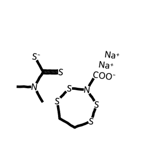 CN(C)C(=S)[S-].O=C([O-])N1SSCCSS1.[Na+].[Na+]